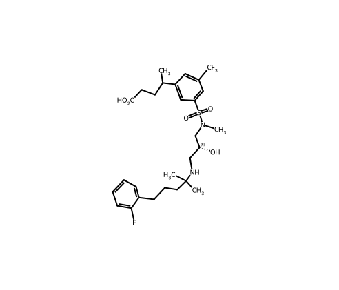 CC(CCC(=O)O)c1cc(C(F)(F)F)cc(S(=O)(=O)N(C)C[C@H](O)CNC(C)(C)CCCc2ccccc2F)c1